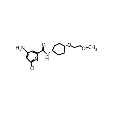 COCCO[C@H]1CC[C@H](NC(=O)c2cc(N)cc(Cl)n2)CC1